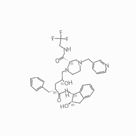 O=C(N[C@H]1c2ccccc2C[C@H]1O)[C@H](Cc1ccccc1)C[C@H](O)CN1CCN(Cc2cccnc2)C[C@H]1C(=O)NCC(F)(F)F